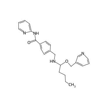 CCCCC(NCc1ccc(C(=O)Nc2ccccn2)cc1)OCc1cccnc1